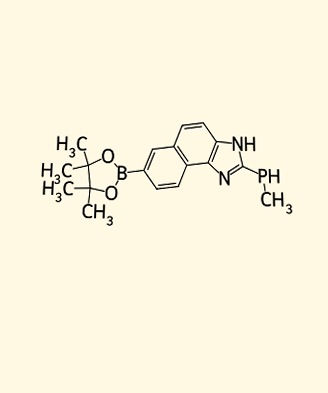 CPc1nc2c(ccc3cc(B4OC(C)(C)C(C)(C)O4)ccc32)[nH]1